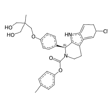 Cc1ccc(OC(=O)N2CCc3c([nH]c4c3=CC(Cl)CC=4)[C@@H]2c2ccc(OCC(C)(CO)CO)cc2)cc1